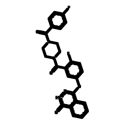 O=C(c1ccc(F)cc1)N1CCN(C(=O)c2cc(Oc3n[nH]c(=O)c4ccccc34)ccc2F)CC1